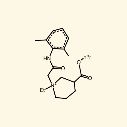 CCCOC(=O)C1CCC[N+](CC)(CC(=O)Nc2c(C)cccc2C)C1